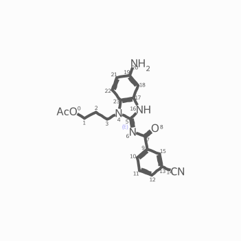 CC(=O)OCCCn1/c(=N/C(=O)c2cccc(C#N)c2)[nH]c2cc(N)ccc21